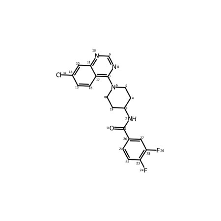 O=C(NC1CCN(c2ncnc3cc(Cl)ccc23)CC1)c1ccc(F)c(F)c1